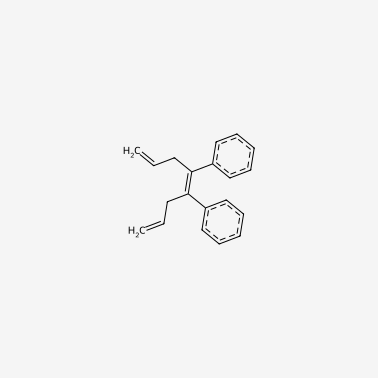 C=CCC(=C(CC=C)c1ccccc1)c1ccccc1